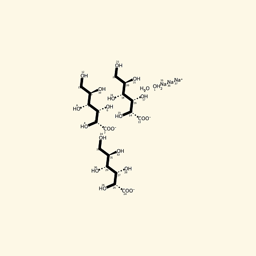 O.O.O=C([O-])[C@H](O)[C@@H](O)[C@H](O)[C@H](O)CO.O=C([O-])[C@H](O)[C@@H](O)[C@H](O)[C@H](O)CO.O=C([O-])[C@H](O)[C@@H](O)[C@H](O)[C@H](O)CO.[Na+].[Na+].[Na+]